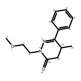 COCCN1N=C(c2ccccc2)C(C)CC1=O